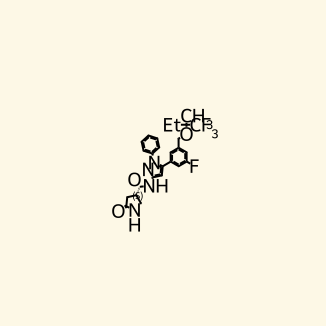 CCC(C)(OCc1cc(F)cc(-c2cc(NC(=O)[C@@H]3CNC(=O)C3)nn2-c2ccccc2)c1)C(F)(F)F